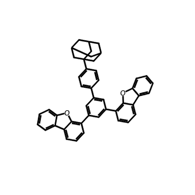 c1ccc2c(c1)oc1c(-c3cc(-c4ccc(C56CC7CC(CC(C7)C5)C6)cc4)cc(-c4cccc5c4oc4ccccc45)c3)cccc12